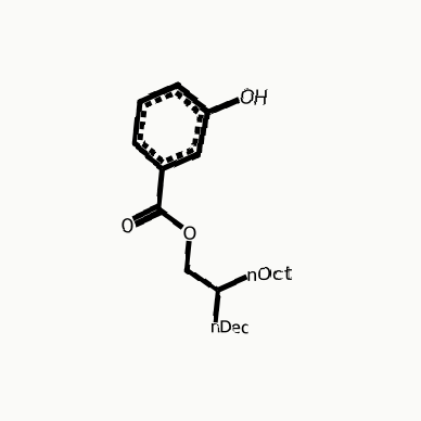 CCCCCCCCCCC(CCCCCCCC)COC(=O)c1cccc(O)c1